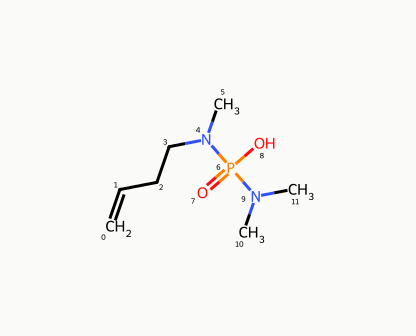 C=CCCN(C)P(=O)(O)N(C)C